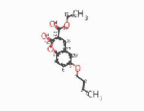 CCCCOc1ccc2oc(=O)c(C(=O)OCC)cc2c1